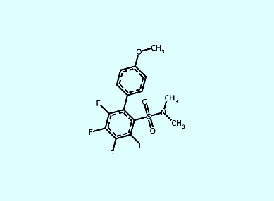 COc1ccc(-c2c(F)c(F)c(F)c(F)c2S(=O)(=O)N(C)C)cc1